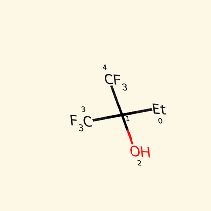 CCC(O)(C(F)(F)F)C(F)(F)F